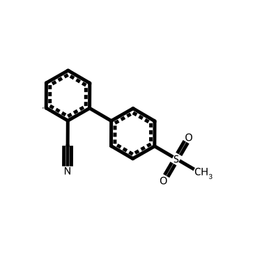 CS(=O)(=O)c1ccc(-c2ccc[c]c2C#N)cc1